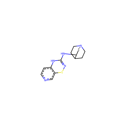 c1cc2c(cn1)SN=C(NC1CN3CCC1CC3)N2